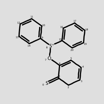 S=C1CC=CC=C1O[S+](c1ccccc1)c1ccccc1